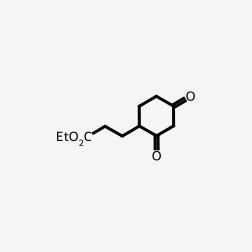 CCOC(=O)CCC1CCC(=O)CC1=O